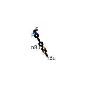 CCCCC#Cc1cc2sc(-c3ccc(C#Cc4ccc(N=C=S)c(F)c4)cc3CCCC)cc2s1